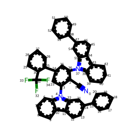 N#Cc1c(-n2c3ccccc3c3ccc(-c4ccccc4)cc32)cc(-c2ccccc2C(F)(F)F)cc1-n1c2ccccc2c2ccc(-c3ccccc3)cc21